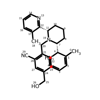 CC1=CC=CNC1[C@H]1CCC[C@@H](c2ncccc2C)N1Cc1ccc(CO)cc1C#N